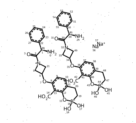 N[C@@H](C(=O)N1CC(Oc2ccc3c(c2C(=O)O)O[B-](O)(O)CC3)C1)c1ccccc1.N[C@@H](C(=O)N1CC(Oc2ccc3c(c2C(=O)O)O[B-](O)(O)CC3)C1)c1ccccc1.[Na+].[Na+]